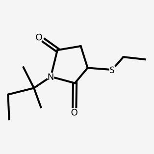 CCSC1CC(=O)N(C(C)(C)CC)C1=O